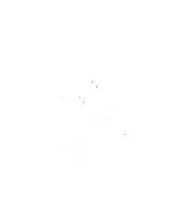 CCc1[c]nn(C)c1C1CC1